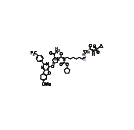 COc1ccc2c(c1)oc1c(O[C@@H]3C[C@@H](C(N)=O)N(C(=O)N(CCCCC/C=C\[C@@H]4C[C@@H]4C(=O)NS(=O)(=O)C4CC4)C(=O)OC4CCCC4)C3)nc(-c3ccc(C(F)(F)F)cc3)nc12